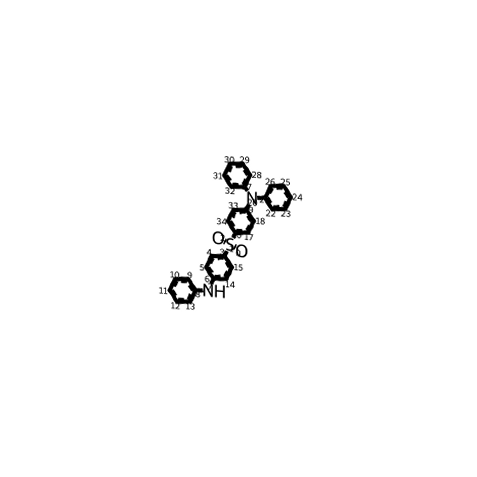 O=S(=O)(c1ccc(Nc2ccccc2)cc1)c1ccc(N(c2ccccc2)c2ccccc2)cc1